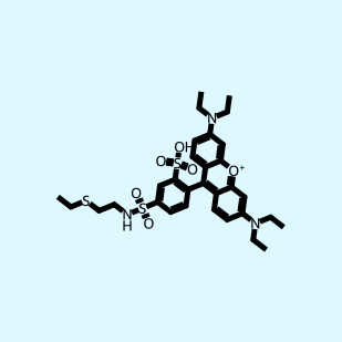 CCSCCNS(=O)(=O)c1ccc(-c2c3ccc(N(CC)CC)cc3[o+]c3cc(N(CC)CC)ccc23)c(S(=O)(=O)O)c1